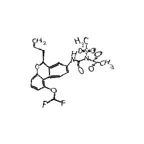 C=CCC1Oc2cccc(OC(F)F)c2-c2ccc(NC(=O)N(S(C)(=O)=O)S(C)(=O)=O)cc21